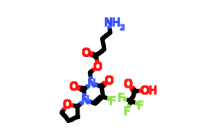 NCCCC(=O)OCn1c(=O)c(F)cn(C2CCCO2)c1=O.O=C(O)C(F)(F)F